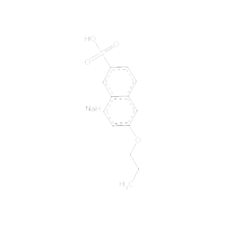 CCCOc1ccc2cc(S(=O)(=O)O)ccc2c1.[NaH]